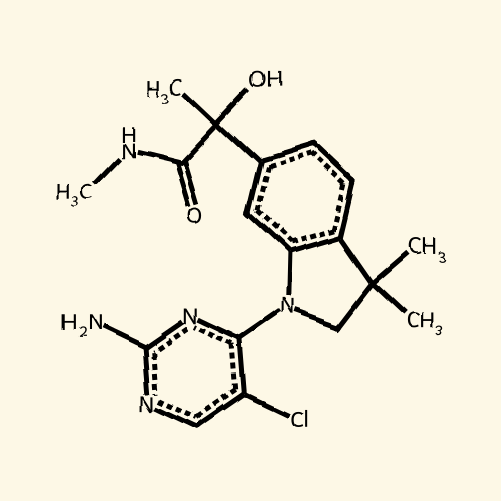 CNC(=O)C(C)(O)c1ccc2c(c1)N(c1nc(N)ncc1Cl)CC2(C)C